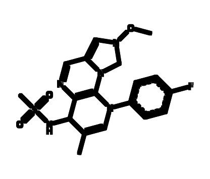 CON1C=C2C=NC3=C(N2C1)N(c1ccc(F)cc1)C=C(C)C3NS(C)(=O)=O